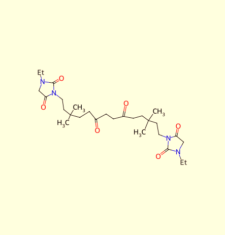 CCN1CC(=O)N(CCC(C)(C)CCC(=O)CCC(=O)CCC(C)(C)CCN2C(=O)CN(CC)C2=O)C1=O